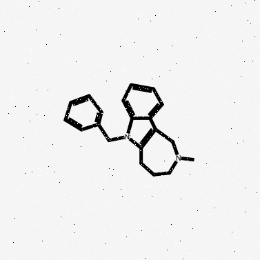 CN1CCCc2c(c3ccccc3n2Cc2ccccc2)C1